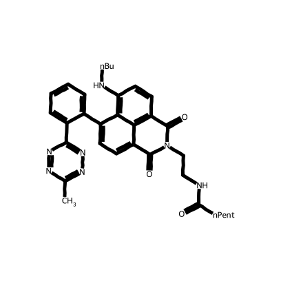 CCCCCC(=O)NCCN1C(=O)c2ccc(NCCCC)c3c(-c4ccccc4-c4nnc(C)nn4)ccc(c23)C1=O